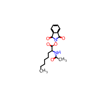 CCCCCCC(NC(C)=O)C(=O)ON1C(=O)c2ccccc2C1=O